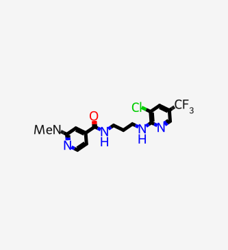 CNc1cc(C(=O)NCCCNc2ncc(C(F)(F)F)cc2Cl)ccn1